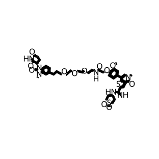 COc1cc(-c2cn(C)c(=O)c3cc(C(=N)NC4CCS(=O)(=O)CC4)sc23)ccc1OCC(=O)NCCOCCOCCOCCCc1ccc2c(c1)n(C)c(=O)n2C1CCC(=O)NC1=O